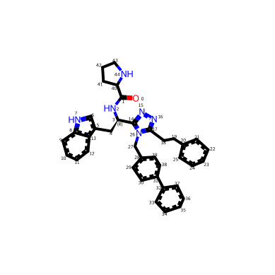 O=C(N[C@H](Cc1c[nH]c2ccccc12)c1nnc(CCc2ccccc2)n1Cc1ccc(-c2ccccc2)cc1)C1CCCN1